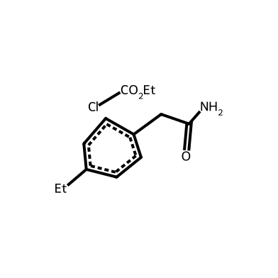 CCOC(=O)Cl.CCc1ccc(CC(N)=O)cc1